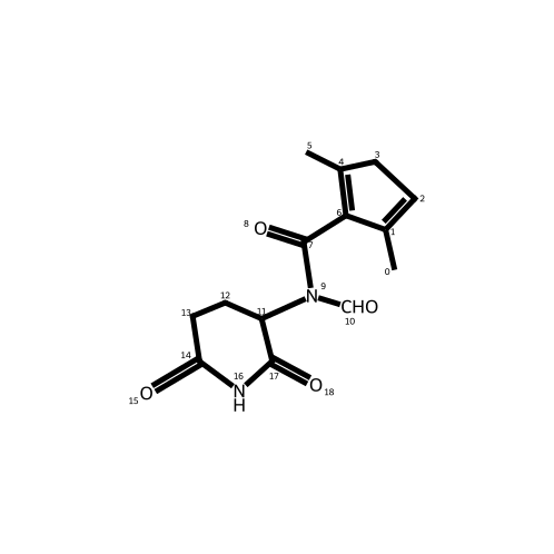 CC1=CCC(C)=C1C(=O)N(C=O)C1CCC(=O)NC1=O